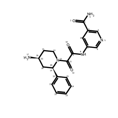 NC(=O)c1cncc(NC(=O)C(=O)N2CC[C@H](N)C[C@@H]2c2ccccc2)c1